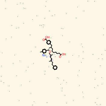 C/C(=C\C=C(/C)CO[C@@H](CC(CCCCCCC(=O)O)Cc1ccc(C(=O)O)cc1)c1ccc(C)c(N)c1)CCc1ccccc1